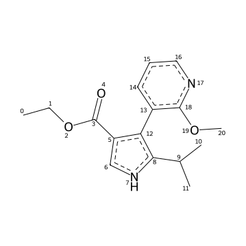 CCOC(=O)c1c[nH]c(C(C)C)c1-c1cccnc1OC